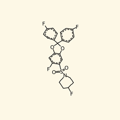 O=S(=O)(c1cc2c(cc1F)OC(c1ccc(F)cc1)(c1ccc(F)cc1)O2)N1CCC(F)CC1